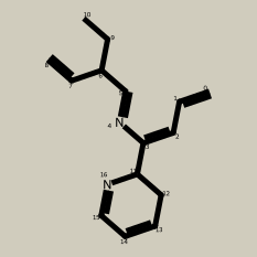 C=C/C=C(\N=C\C(C=C)CC)C1CC=CC=N1